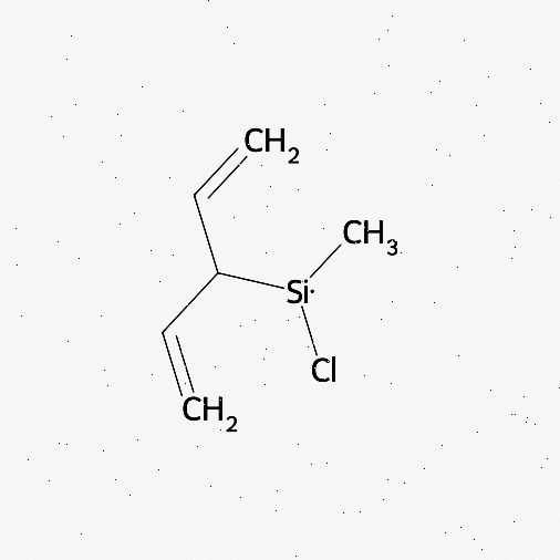 C=CC(C=C)[Si](C)Cl